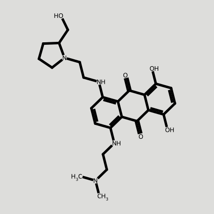 CN(C)CCNc1ccc(NCCN2CCCC2CO)c2c1C(=O)c1c(O)ccc(O)c1C2=O